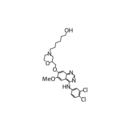 COc1cc2c(Nc3ccc(Cl)c(Cl)c3)ncnc2cc1OCC1CN(CCCCCCO)CCO1